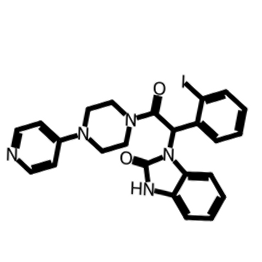 O=C(C(c1ccccc1I)n1c(=O)[nH]c2ccccc21)N1CCN(c2ccncc2)CC1